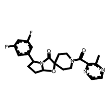 Cc1nccnc1C(=O)N1CCC2(CC1)OC1CCC(c3cc(F)cc(F)c3)N1C2=O